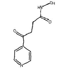 O=C(CCC(=O)c1ccncc1)NO